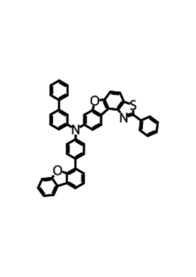 c1ccc(-c2cccc(N(c3ccc(-c4cccc5c4oc4ccccc45)cc3)c3ccc4c(c3)oc3ccc5sc(-c6ccccc6)nc5c34)c2)cc1